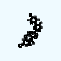 Cc1cnc(C(=O)N[C@H]2COc3cc(Cl)cnc3N(C)C2=O)nc1-c1ccc(F)cn1